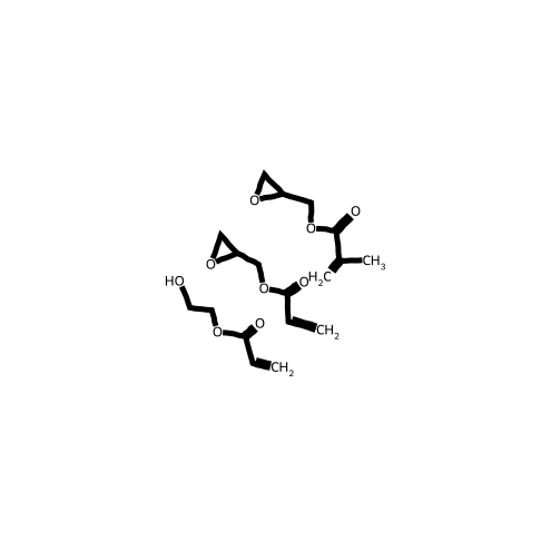 C=C(C)C(=O)OCC1CO1.C=CC(=O)OCC1CO1.C=CC(=O)OCCO